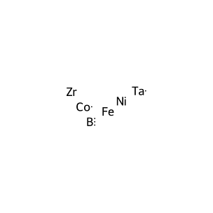 [B].[Co].[Fe].[Ni].[Ta].[Zr]